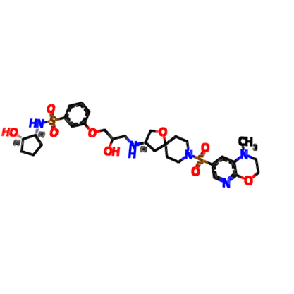 CN1CCOc2ncc(S(=O)(=O)N3CCC4(CC3)C[C@@H](NCC(O)COc3cccc(S(=O)(=O)N[C@@H]5CCC[C@@H]5O)c3)CO4)cc21